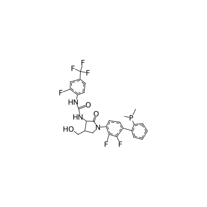 CP(C)c1ccccc1-c1ccc(N2CC(CO)C(NC(=O)Nc3ccc(C(F)(F)F)cc3F)C2=O)c(F)c1F